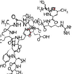 CC[C@H](C)[C@H](NC(=O)[C@H](C)NC(=O)[C@H](CO)NC(=O)[C@H](CC(=O)O)NC(=O)[C@H](CCC(=O)O)NC(=O)[C@@H]1CCCN1C(=O)[C@H](CCCNC(=N)N)NC(=O)[C@H](CC(C)C)NC(=O)[C@@H](N)CO)C(=O)N[C@@H](Cc1ccc(O)cc1)C(=O)N[C@@H](Cc1ccc(O)cc1)C(=O)N[C@@H](CS)C(=O)N[C@@H](C)C(=O)O